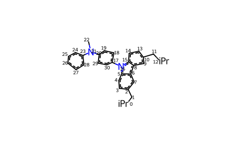 CC(C)Cc1ccc2c(c1)c1cc(CC(C)C)ccc1n2-c1ccc(N(C)c2ccccc2)cc1